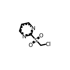 O=S(=O)(CCl)c1ncccn1